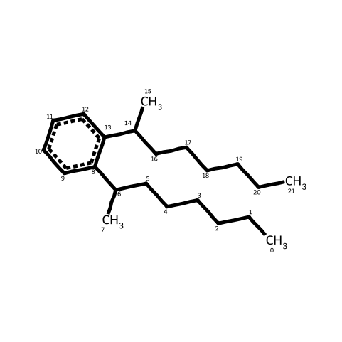 CCCCCCC(C)c1ccccc1C(C)CCCCCC